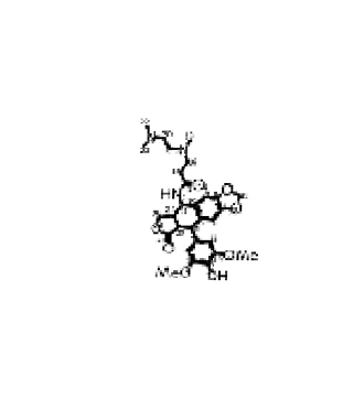 COc1cc(C2c3cc4c(cc3C(NC(=O)CCN(C)CCN(C)C)C3COC(=O)C23)OCO4)cc(OC)c1O